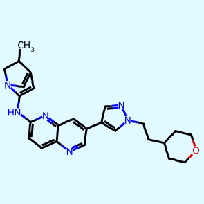 CC1Cn2cc1cc2Nc1ccc2ncc(-c3cnn(CCC4CCOCC4)c3)cc2n1